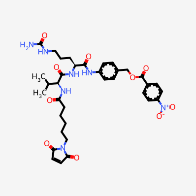 CC(C)[C@H](NC(=O)CCCCCN1C(=O)C=CC1=O)C(=O)N[C@@H](CCCNC(N)=O)C(=O)Nc1ccc(COC(=O)c2ccc([N+](=O)[O-])cc2)cc1